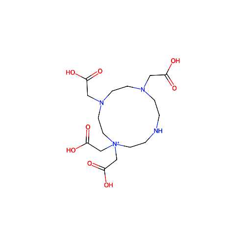 O=C(O)CN1CCNCC[N+](CC(=O)O)(CC(=O)O)CCN(CC(=O)O)CC1